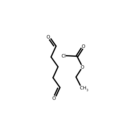 CCOC(=O)Cl.O=CCCCC=O